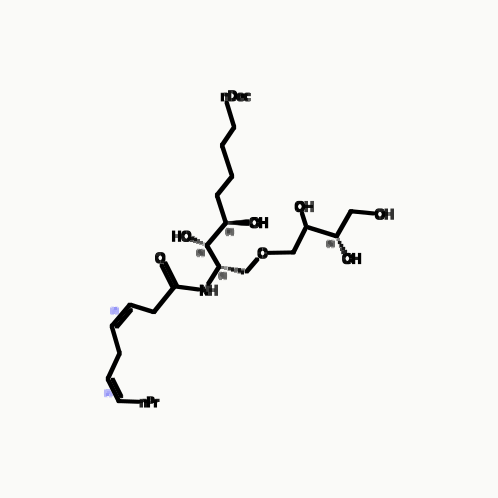 CCC/C=C\C/C=C\CC(=O)N[C@@H](COCC(O)[C@@H](O)CO)[C@H](O)[C@H](O)CCCCCCCCCCCCCC